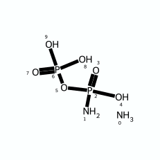 N.NP(=O)(O)OP(=O)(O)O